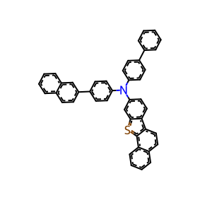 c1ccc(-c2ccc(N(c3ccc(-c4ccc5ccccc5c4)cc3)c3ccc4c(c3)sc3c5ccccc5ccc43)cc2)cc1